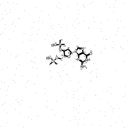 CC(C)(C)[Si](C)(C)OC[C@H]1O[C@@H](n2cnc3c(=O)[nH]c(N)nc32)CC1O[Si](C)(C)C(C)(C)C